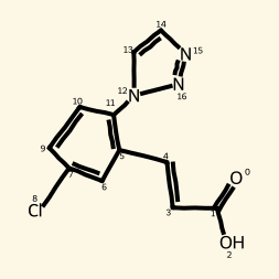 O=C(O)C=Cc1cc(Cl)ccc1-n1ccnn1